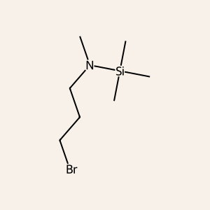 CN(CCCBr)[Si](C)(C)C